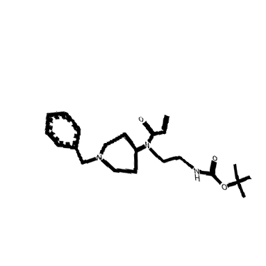 C=CC(=O)N(CCNC(=O)OC(C)(C)C)C1CCN(Cc2ccccc2)CC1